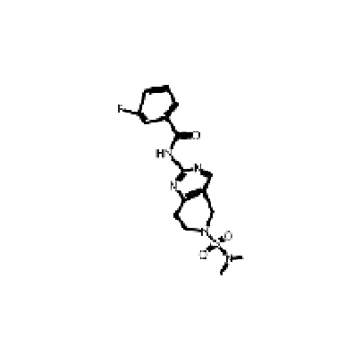 CN(C)S(=O)(=O)N1CCc2nc(NC(=O)c3cccc(F)c3)ncc2C1